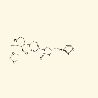 CC1(C)NCCC(c2ccc(N3C[C@H](CNc4ccon4)OC3=O)cc2)=C1C(=O)[C@@H]1COCO1